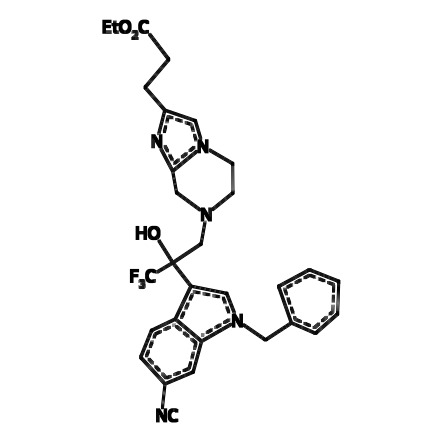 [C-]#[N+]c1ccc2c(C(O)(CN3CCn4cc(CCC(=O)OCC)nc4C3)C(F)(F)F)cn(Cc3ccccc3)c2c1